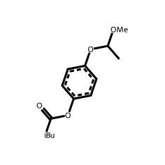 CCC(C)C(=O)Oc1ccc(OC(C)OC)cc1